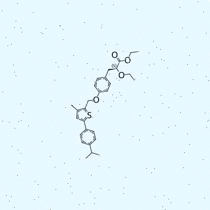 CCOC(=O)[C@H](Cc1ccc(OCc2sc(-c3ccc(C(C)C)cc3)cc2C)cc1)OCC